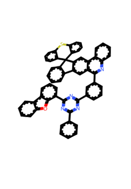 c1ccc(-c2nc(-c3cccc(-c4nc5ccccc5c5cc6c(cc45)-c4ccccc4C64c5ccccc5Sc5ccccc54)c3)nc(-c3cccc4c3oc3ccccc34)n2)cc1